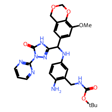 COc1cc(C(Nc2ccc(N)c(CNC(=O)OC(C)(C)C)c2)c2nn(-c3ncccn3)c(=O)[nH]2)cc2c1OCOC2